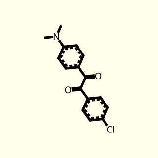 CN(C)c1ccc(C(=O)C(=O)c2ccc(Cl)cc2)cc1